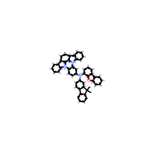 CC1(C)c2ccccc2-c2ccc(N(c3ccc4c(c3)n3c5ccccc5c5ccc6c7ccccc7n4c6c53)c3cccc4c3oc3ccccc34)cc21